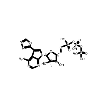 C[C@@]1(O)[C@H](O)[C@@H](COP(=O)(O)OP(=O)(O)OP(=O)(O)O)O[C@H]1n1cc(-c2nnco2)c2c(N)ncnc21